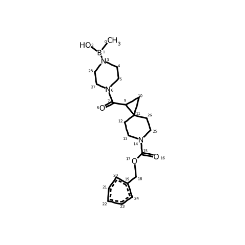 CB(O)N1CCN(C(=O)C2CC23CCN(C(=O)OCc2ccccc2)CC3)CC1